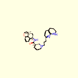 O=C(O)C[C@@H](NC(=O)[C@@H]1CCCN(CCCc2ccc3c(n2)NCCC3)C1)c1cccc2c1CCCO2